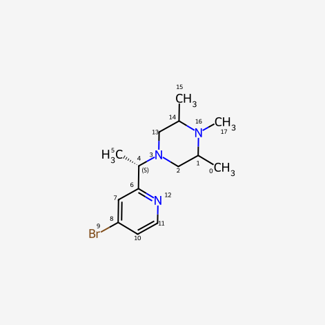 CC1CN([C@@H](C)c2cc(Br)ccn2)CC(C)N1C